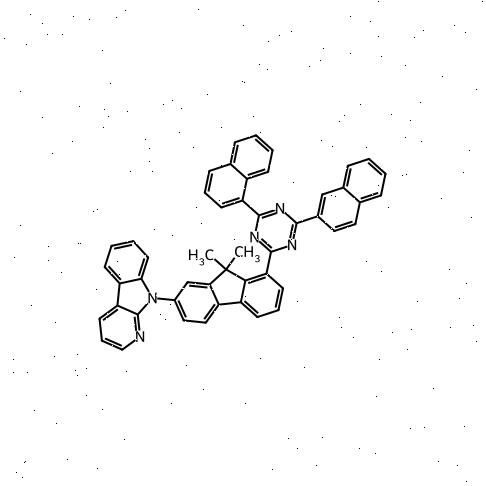 CC1(C)c2cc(-n3c4ccccc4c4cccnc43)ccc2-c2cccc(-c3nc(-c4ccc5ccccc5c4)nc(-c4cccc5ccccc45)n3)c21